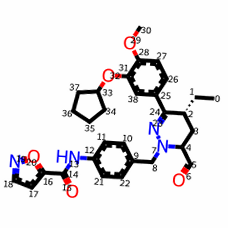 CC[C@@H]1CC(C=O)N(Cc2ccc(NC(=O)c3ccno3)cc2)N=C1c1ccc(OC)c(OC2CCCC2)c1